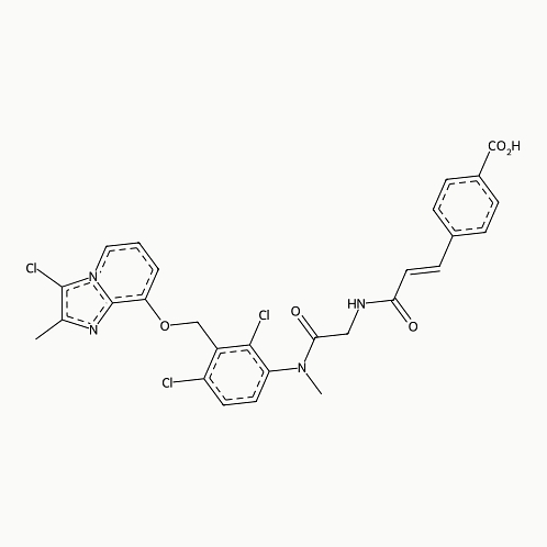 Cc1nc2c(OCc3c(Cl)ccc(N(C)C(=O)CNC(=O)C=Cc4ccc(C(=O)O)cc4)c3Cl)cccn2c1Cl